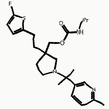 Cc1ccc(C(C)(C)N2CCC(CCc3ccc(F)s3)(COC(=O)NC(C)C)C2)cn1